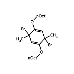 CCCCCCCCOC1=CC(C)(Br)C(OCCCCCCCC)=CC1(C)Br